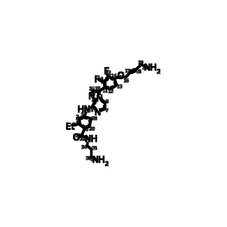 CCc1cc(Nc2nccn3c(-c4ccc(OCC#CCN)c(F)c4F)cnc23)ccc1C(=O)NCCCN